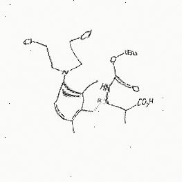 Cc1ccc(N(CCCl)CCCl)c(C)c1C[C@H](NC(=O)OC(C)(C)C)C(C)C(=O)O